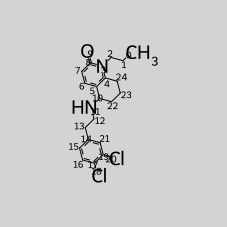 CCCn1c2c(ccc1=O)C(NCCc1ccc(Cl)c(Cl)c1)CCC2